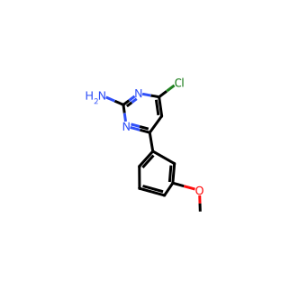 COc1cccc(-c2cc(Cl)nc(N)n2)c1